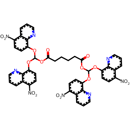 O=C(CCCCC(=O)OC(Oc1ccc([N+](=O)[O-])c2cccnc12)Oc1ccc([N+](=O)[O-])c2cccnc12)OC(Oc1ccc([N+](=O)[O-])c2cccnc12)Oc1ccc([N+](=O)[O-])c2cccnc12